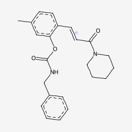 Cc1ccc(/C=C/C(=O)N2CCCCC2)c(OC(=O)NCc2ccccc2)c1